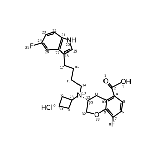 Cl.O=C(O)c1ccc(F)c2c1C[C@@H](N(CCCCc1c[nH]c3ccc(F)cc13)C1CCC1)CO2